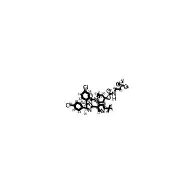 CCOc1cc(C(C)(C)C)ncc1C1=N[C@@](C)(c2ccc(Cl)cc2)[C@@](C)(c2ccc(Cl)cc2)N1C(=O)N1CCC(OC(=O)NCCS(C)(=O)=O)CC1